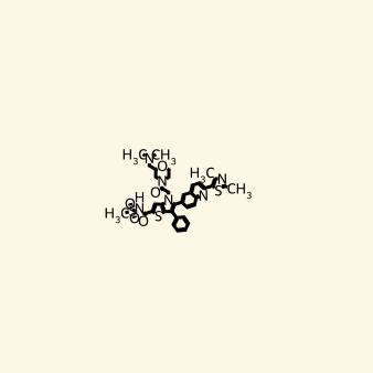 Cc1nc(C)c(-c2ccc3cc(-c4c(-c5ccccc5)c5sc(C(=O)NS(C)(=O)=O)cc5n4CC(=O)N4CCOC(CN(C)C)C4)ccc3n2)s1